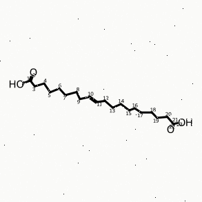 O=C(O)CCCCCCCC=CCCCCCCCCCC(=O)O